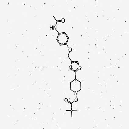 CC(=O)Nc1ccc(OCc2csc(C3CCN(OC(=O)C(C)(C)C)CC3)n2)cc1